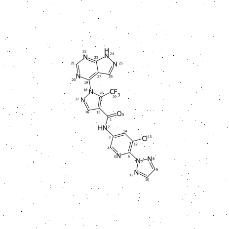 O=C(Nc1cnc(-n2nccn2)c(Cl)c1)c1cnn(-c2ncnc3[nH]ncc23)c1C(F)(F)F